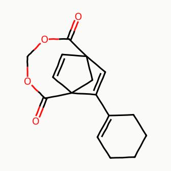 O=C1OCOC(=O)C23C=CC1(C=C2C1=CCCCC1)C3